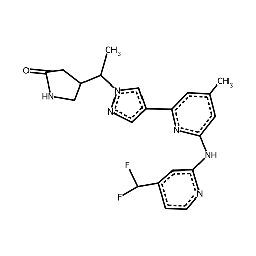 Cc1cc(Nc2cc(C(F)F)ccn2)nc(-c2cnn(C(C)C3CNC(=O)C3)c2)c1